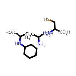 CC(N)C(=O)O.CC(NC1CCCCC1)C(=O)O.NC(CS)C(=O)O